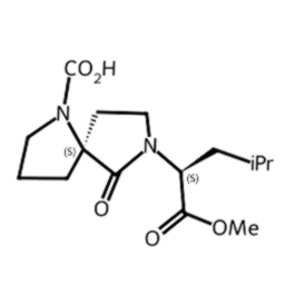 COC(=O)[C@H](CC(C)C)N1CC[C@@]2(CCCN2C(=O)O)C1=O